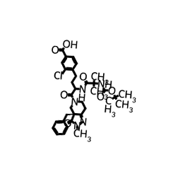 CN1N=C2CCN(C(=O)C(CCc3ccc(C(=O)O)cc3Cl)NC(=O)C(C)(C)NC(=O)OC(C)(C)C)C[C@@]2(Cc2ccccc2)C1=O